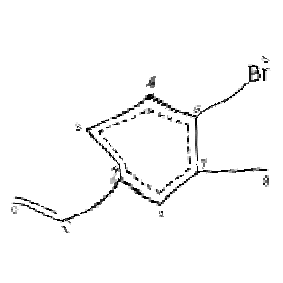 C=[C]c1ccc(Br)c(C)c1